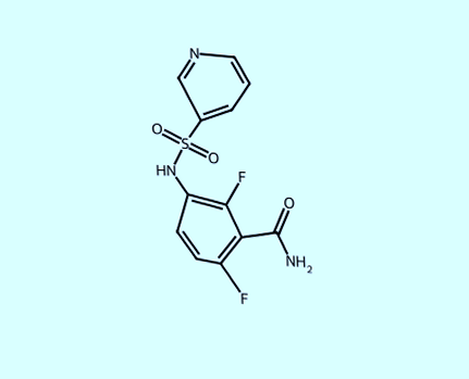 NC(=O)c1c(F)ccc(NS(=O)(=O)c2cccnc2)c1F